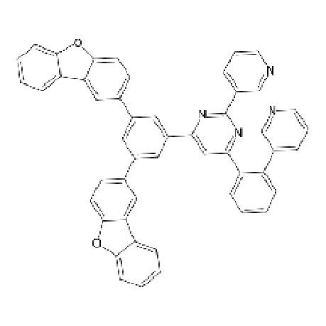 c1cncc(-c2nc(-c3cc(-c4ccc5oc6ccccc6c5c4)cc(-c4ccc5oc6ccccc6c5c4)c3)cc(-c3ccccc3-c3cccnc3)n2)c1